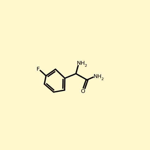 NC(=O)C(N)c1cccc(F)c1